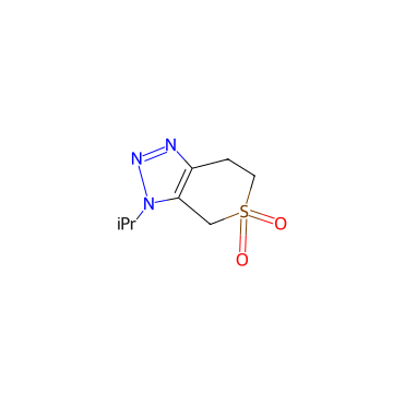 CC(C)n1nnc2c1CS(=O)(=O)CC2